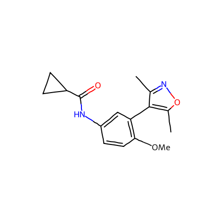 COc1ccc(NC(=O)C2CC2)cc1-c1c(C)noc1C